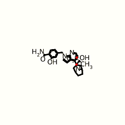 CC(C)(O)CN1C2CCC1CC(c1ccnc3c1ccn3Cc1ccc(C(N)=O)c(O)c1)C2